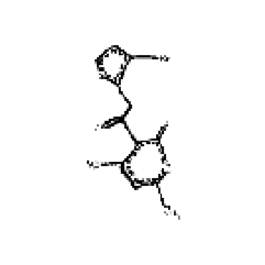 Cc1cc(O)c(C(=O)Cc2sccc2Br)c(=O)o1